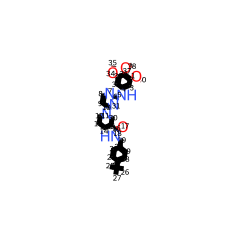 COc1cc(Nc2nccc(N3CCC[C@H](C(=O)NCc4ccc(C(C)(C)C)cc4)C3)n2)cc(OC)c1OC